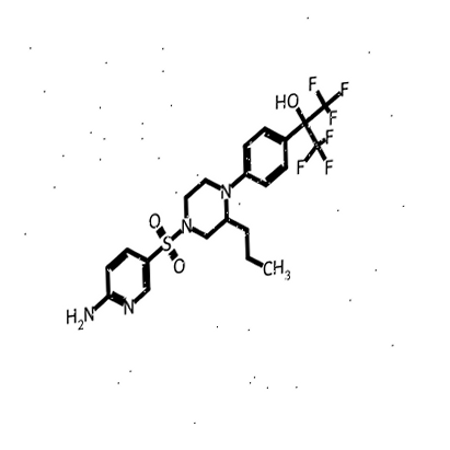 CCCC1CN(S(=O)(=O)c2ccc(N)nc2)CCN1c1ccc(C(O)(C(F)(F)F)C(F)(F)F)cc1